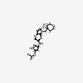 CC1(Cn2ncc3ncc(Nc4cc(OC(F)F)[nH]n4)nc32)CCOCC1